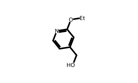 CCOc1cc(CO)ccn1